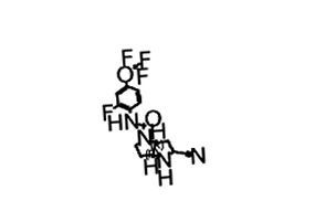 N#CC1C[C@@H]2[C@@H](CCN2C(=O)Nc2ccc(OC(F)(F)F)cc2F)N1